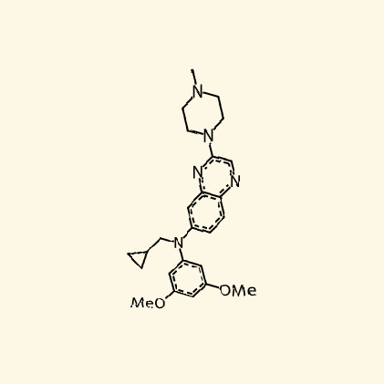 COc1cc(OC)cc(N(CC2CC2)c2ccc3ncc(N4CCN(C)CC4)nc3c2)c1